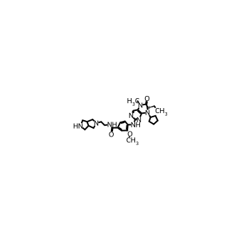 CC[C@@H]1C(=O)N(C)c2cnc(Nc3ccc(C(=O)NCCN4CC5CNCC5C4)cc3OC)nc2N1C1CCCC1